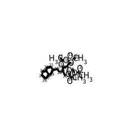 CC(=O)OCOC(COC(C)=O)[C@@H](OC(C)=O)[C@H](CCc1ccc2ccccc2c1)COC(C)=O